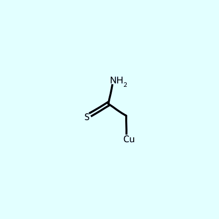 NC(=S)[CH2][Cu]